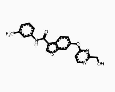 O=C(Nc1cccc(C(F)(F)F)c1)c1csc2cc(Oc3ccnc(CO)n3)ccc12